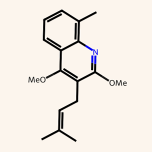 COc1nc2c(C)cccc2c(OC)c1CC=C(C)C